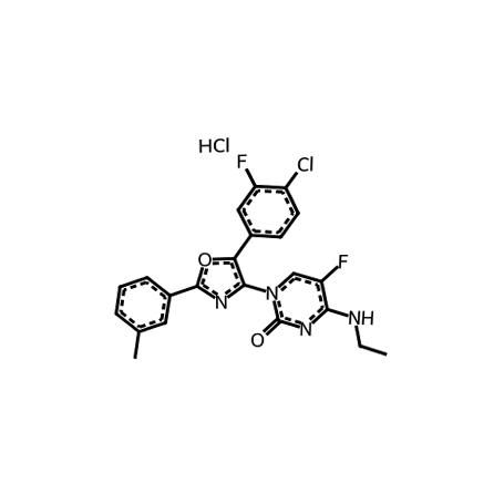 CCNc1nc(=O)n(-c2nc(-c3cccc(C)c3)oc2-c2ccc(Cl)c(F)c2)cc1F.Cl